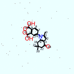 Cc1cc2c(n1-c1ccc(C(=O)O)c(C(=O)O)c1)CC(C)(C)CC2=O